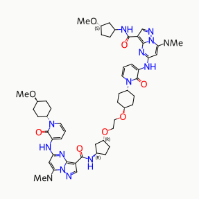 CNc1cc(Nc2cccn([C@H]3CC[C@H](OCCO[C@@H]4CC[C@@H](NC(=O)c5cnn6c(NC)cc(Nc7cccn([C@H]8CC[C@H](OC)CC8)c7=O)nc56)C4)CC3)c2=O)nc2c(C(=O)NC3CC[C@H](OC)C3)cnn12